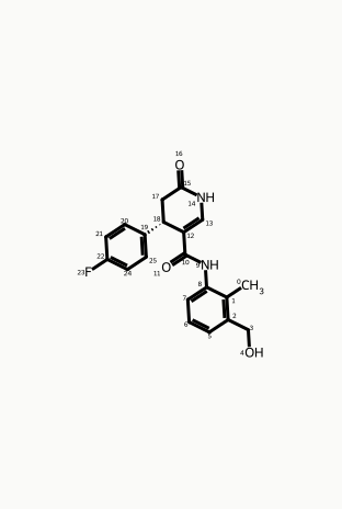 Cc1c(CO)cccc1NC(=O)C1=CNC(=O)C[C@H]1c1ccc(F)cc1